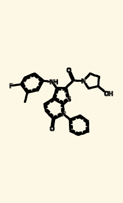 Cc1cc(Nc2c(C(=O)N3CCC(O)C3)sc3c2ccc(=O)n3-c2ccccc2)ccc1F